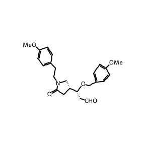 COc1ccc(CCN2C[C@H]([C@@H](CC=O)OCc3ccc(OC)cc3)CC2=O)cc1